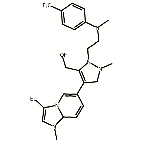 CCC1=CN(C)C2C=CC(C3=C(CO)N(CCN(C)c4ccc(C(F)(F)F)cc4)N(C)C3)=CN12